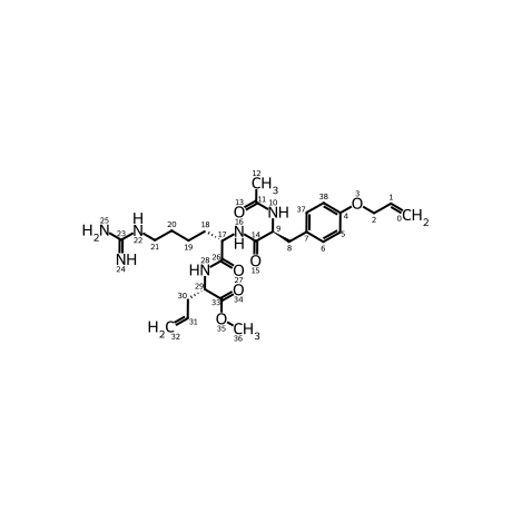 C=CCOc1ccc(C[C@H](NC(C)=O)C(=O)N[C@@H](CCCCNC(=N)N)C(=O)N[C@@H](CC=C)C(=O)OC)cc1